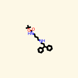 CC(C)(C)OC(=O)NCCCCNCCC(c1ccccc1)c1ccccc1